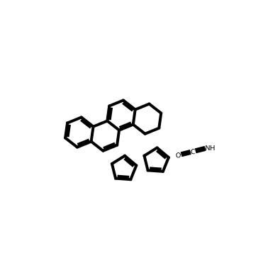 C1=CCC=C1.C1=CCC=C1.N=C=O.c1ccc2c(c1)ccc1c3c(ccc12)CCCC3